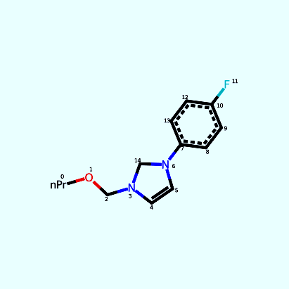 CCCOCN1C=CN(c2ccc(F)cc2)C1